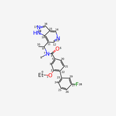 CCOc1cc(C(=O)N(C)C(C)c2cncc3cn[nH]c23)ccc1-c1cccc(F)c1